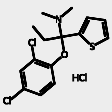 CCC(Oc1ccc(Cl)cc1Cl)(c1cccs1)N(C)C.Cl